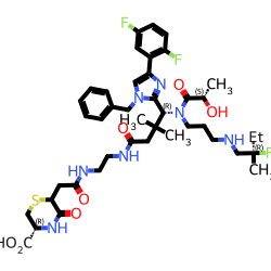 CC[C@@](C)(F)CNCCCN(C(=O)[C@H](C)O)[C@@H](c1nc(-c2cc(F)ccc2F)cn1Cc1ccccc1)C(C)(C)CC(=O)NCCNC(=O)CC1SC[C@@H](C(=O)O)NC1=O